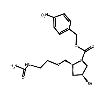 NC(=O)NCCSC[C@@H]1C[C@H](S)CN1C(=O)OCc1ccc([N+](=O)[O-])cc1